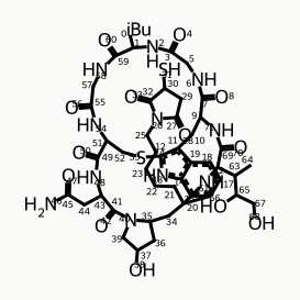 CCC(C)C1NC(=O)CNC(=O)C2Cc3c4[nH]c5cc(ccc35)C(CCCCCN3C(=O)CC(S)C3=O)(CC3CC(O)CN3C(=O)C(CC(N)=O)NC(=O)C(CS4)NC(=O)CNC1=O)NC(C(C)C(O)CO)C(=O)N2